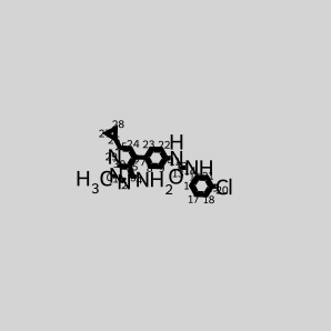 Cn1nc(N)c2c(-c3ccc(NC(=O)Nc4cccc(Cl)c4)cc3)cc(C3CC3)nc21